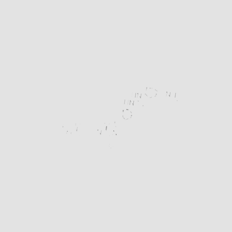 COC(=O)CC1CCN(C(=O)[C@@H]2COCCN2C(=O)Cc2ccc(NC(=O)Nc3ccc(CN)cc3)cc2)CC1